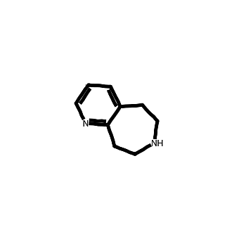 [c]1cnc2c(c1)CCNCC2